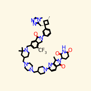 CC1c2nc(N3CCC(CN4CCN(CC5CCN(Cc6cc7c(c(C(F)(F)F)c6)CN(c6cccc([C@]8(Cc9nncn9C)C[C@@H](C)C8)c6)C7=O)C(C)(C)C5)CC4)CC3)ccc2C(=O)N1C1CCC(=O)NC1=O